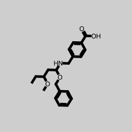 CCC(CC(NCc1ccc(C(=O)O)cc1)OCc1ccccc1)OC